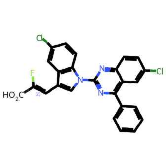 O=C(O)/C(F)=C/c1cn(-c2nc(-c3ccccc3)c3cc(Cl)ccc3n2)c2ccc(Cl)cc12